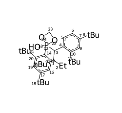 CCCCC(CC)C(c1ccc(C(C)(C)C)cc1C(C)(C)C)P1(O)(c2ccc(C(C)(C)C)cc2C(C)(C)C)OCO1